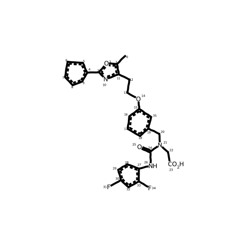 Cc1oc(-c2ccccc2)nc1CCOc1cccc(CN(CC(=O)O)C(=O)Nc2ccc(F)cc2F)c1